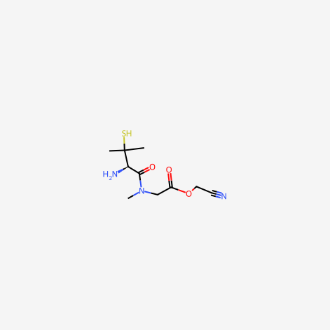 CN(CC(=O)OCC#N)C(=O)[C@@H](N)C(C)(C)S